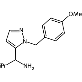 COc1ccc(Cn2nccc2C(N)C(C)C)cc1